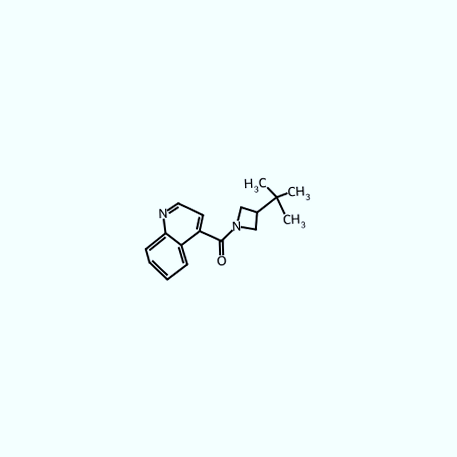 CC(C)(C)C1CN(C(=O)c2ccnc3ccccc23)C1